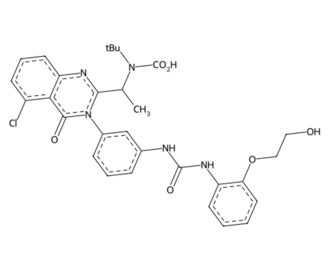 CC(c1nc2cccc(Cl)c2c(=O)n1-c1cccc(NC(=O)Nc2ccccc2OCCO)c1)N(C(=O)O)C(C)(C)C